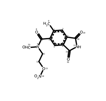 Cc1cc2c(cc1C(=O)N(C=O)CCO[N+](=O)[O-])C(=O)NC2=O